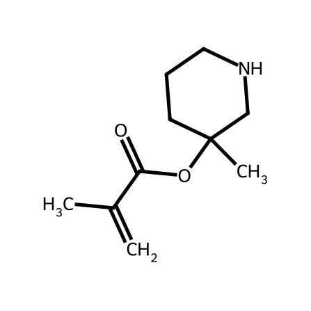 C=C(C)C(=O)OC1(C)CCCNC1